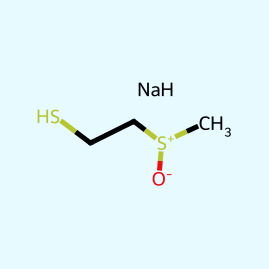 C[S+]([O-])CCS.[NaH]